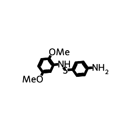 COc1ccc(OC)c(NSc2ccc(N)cc2)c1